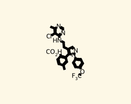 Cc1ccc(C(=O)O)c(-c2c(CCNc3ncnc(C)c3Cl)cnn2-c2ccc(OC(F)(F)F)cc2)c1